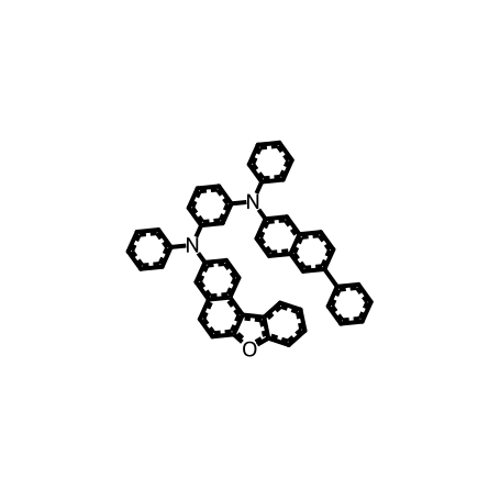 c1ccc(-c2ccc3cc(N(c4ccccc4)c4cccc(N(c5ccccc5)c5ccc6c(ccc7oc8ccccc8c76)c5)c4)ccc3c2)cc1